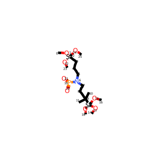 CO[Si](CCCN(CCC(C)(C)[Si](OC)(OC)OC)P(=O)=O)(OC)OC